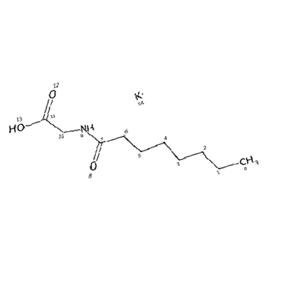 CCCCCCCC(=O)NCC(=O)O.[K]